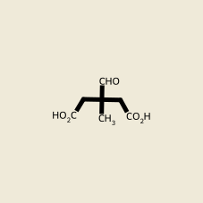 CC(C=O)(CC(=O)O)CC(=O)O